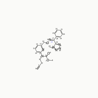 C#CCCN(C(=O)OC)c1cccc(CO/N=C(/c2ccccc2)c2nnnn2C)n1